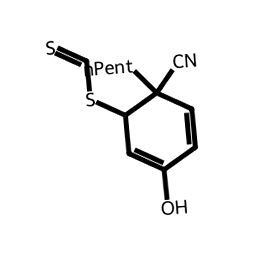 CCCCCC1(C#N)C=CC(O)=CC1SC=S